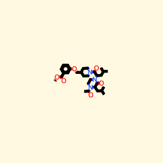 COC(=O)c1cccc(OCC2CCN(C(=O)C(CC(C)C)N3CCN(C(C)=O)C(CC(C)C)C3=O)CC2)c1